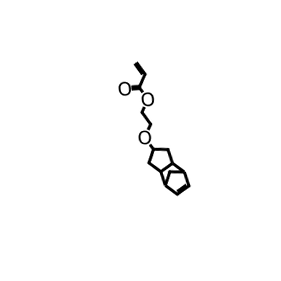 C=CC(=O)OCCOC1CC2C3C=CC(C3)C2C1